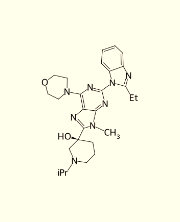 CCc1nc2ccccc2n1-c1nc(N2CCOCC2)c2nc([C@]3(O)CCCN(C(C)C)C3)n(C)c2n1